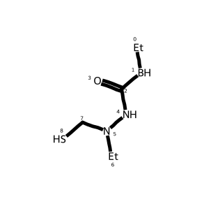 CCBC(=O)NN(CC)CS